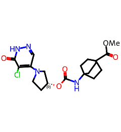 COC(=O)C12CCC(NC(=O)O[C@@H]3CCN(c4cn[nH]c(=O)c4Cl)C3)(CC1)CC2